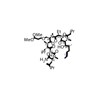 C=C(C[C@H](C(N)=O)N(C)C(=O)NC(=O)[C@H](CC(C)C)N(C)C(=O)[C@@H](COCCC(OC)OC)N(C)C(=O)[C@H](CC)NC(=O)[C@H]([C@H](O)[C@H](C)C/C=C/C)N(C)C(=O)CC(C)C)C(C)C